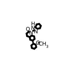 COc1ccccc1-c1ccc2c(ccc(=O)n2-c2nc3ccccc3[nH]2)c1